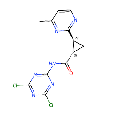 Cc1ccnc([C@H]2C[C@@H]2C(=O)Nc2nc(Cl)nc(Cl)n2)n1